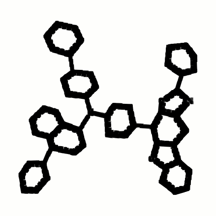 c1ccc(-c2ccc(N(c3ccc(-c4c5oc(-c6ccccc6)nc5cc5c4oc4ccccc45)cc3)c3ccc(-c4ccccc4)c4ccccc34)cc2)cc1